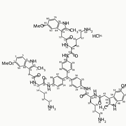 COc1ccc2[nH]c(C)c(CC(=O)N[C@@H](CCCCN)C(=O)Nc3ccc(C(c4ccc(NC(=O)[C@H](CCCCN)NC(=O)Cc5c(C)[nH]c6ccc(OC)cc56)cc4)c4ccc(NC(=O)[C@H](CCCCN)NC(=O)Cc5c(C)[nH]c6ccc(OC)cc56)cc4)cc3)c2c1.Cl